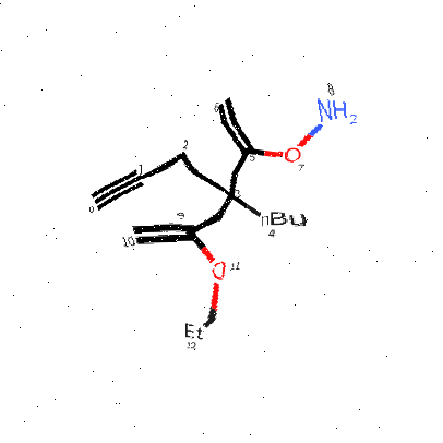 C#CCC(CCCC)(C(=C)ON)C(=C)OCC